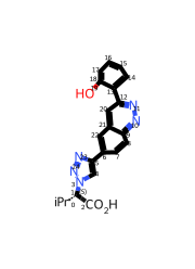 CC(C)[C@@H](C(=O)O)n1cc(-c2ccc3nnc(-c4ccccc4O)cc3c2)nn1